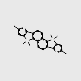 Cc1cc2c(s1)-c1ccc3c4c(ccc3c1[Si]2(C)C)-c1sc(C)cc1[Si]4(C)C